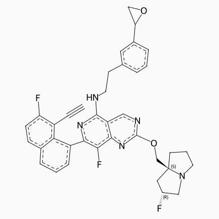 C#Cc1c(F)ccc2cccc(-c3nc(NCCc4cccc(C5CO5)c4)c4cnc(OC[C@@]56CCCN5C[C@H](F)C6)nc4c3F)c12